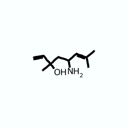 C=CC(C)(O)CC(N)C=C(C)C